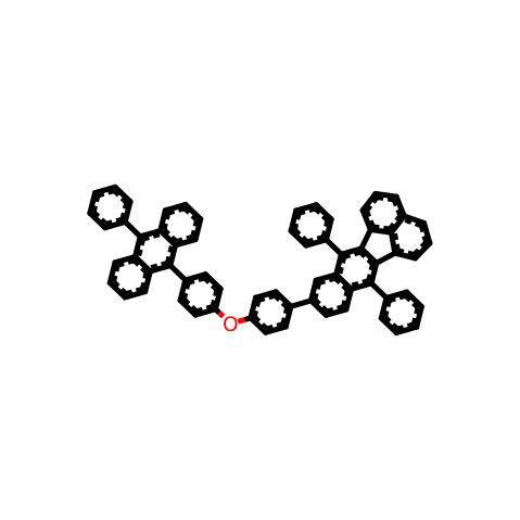 c1ccc(-c2c3c(c(-c4ccccc4)c4cc(-c5ccc(Oc6ccc(-c7c8ccccc8c(-c8ccccc8)c8ccccc78)cc6)cc5)ccc24)-c2cccc4cccc-3c24)cc1